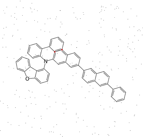 c1ccc(-c2ccc3cc(-c4ccc5ccc(N(c6ccccc6-c6ccccc6)c6cccc7oc8ccccc8c67)cc5c4)ccc3c2)cc1